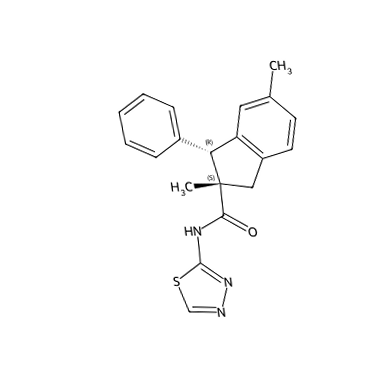 Cc1ccc2c(c1)[C@@H](c1ccccc1)[C@@](C)(C(=O)Nc1nncs1)C2